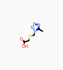 Cc1nnnn1CSCC(=O)O